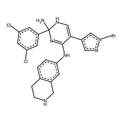 CCCn1cc(C2=CNC(N)(c3cc(Cl)cc(Cl)c3)N=C2Nc2ccc3c(c2)CNCC3)cn1